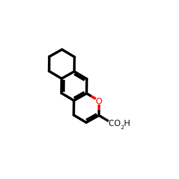 O=C(O)C1=CCc2cc3c(cc2O1)CCCC3